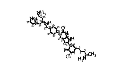 C[C@H](N)CCCc1cc(Cl)c(F)c(-c2cc3cn(-c4ccc(CN[C@H](CCN)Cn5ccnn5)cc4)c(=O)nc3[nH]2)c1